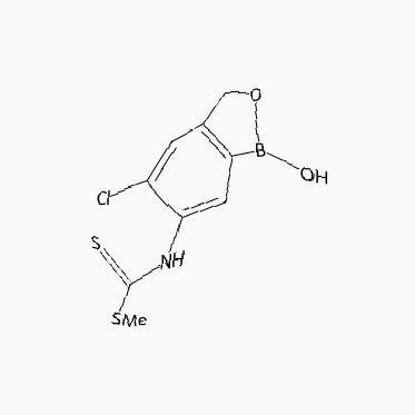 CSC(=S)Nc1cc2c(cc1Cl)COB2O